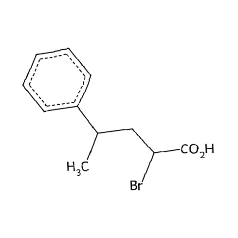 CC(CC(Br)C(=O)O)c1ccccc1